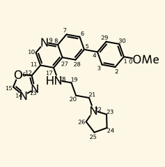 COc1ccc(-c2ccc3ncc(-c4nnco4)c(NCCCN4CCCC4)c3c2)cc1